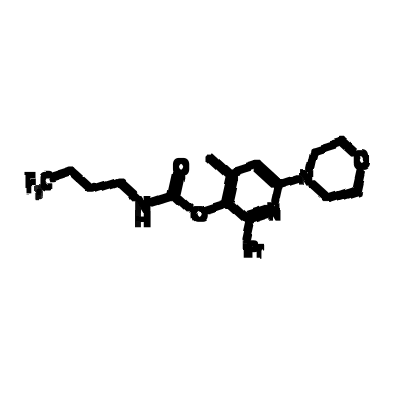 Cc1cc(N2CCOCC2)nc(C(C)C)c1OC(=O)NCCCC(F)(F)F